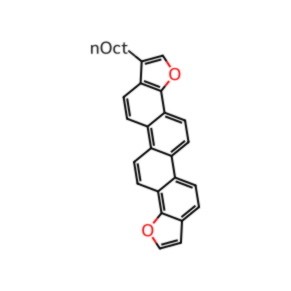 CCCCCCCCc1coc2c1ccc1c3ccc4c(ccc5ccoc54)c3ccc12